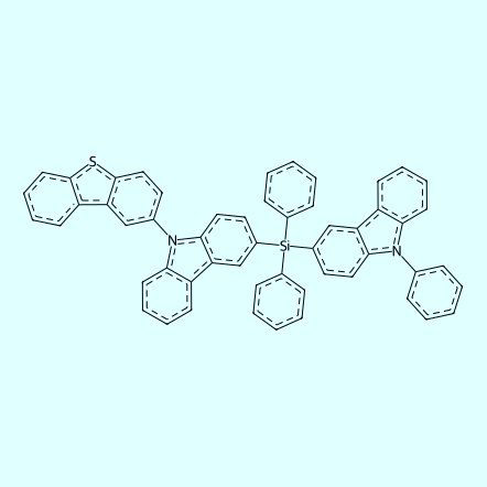 c1ccc(-n2c3ccccc3c3cc([Si](c4ccccc4)(c4ccccc4)c4ccc5c(c4)c4ccccc4n5-c4ccc5sc6ccccc6c5c4)ccc32)cc1